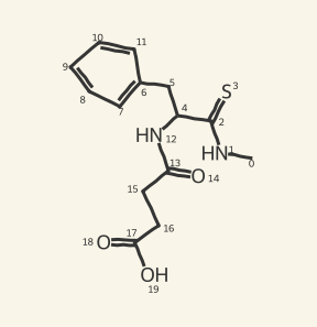 CNC(=S)C(Cc1ccccc1)NC(=O)CCC(=O)O